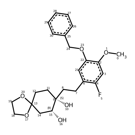 COc1cc(F)c(CC[C@]2(O)CCC3(C[C@H]2O)OCCO3)cc1OCc1ccccc1